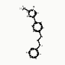 Nc1nc(-c2ccc(CCCc3ccccc3)cc2)cs1